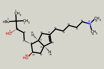 CCCCC(C)(C)[C@@H](O)CC[C@@H]1[C@H]2CC(CCCCCN(C)C)=C[C@H]2C[C@H]1O